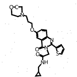 O=C(Cn1c(-c2cccs2)nc2ccc(OCCCN3CCOCC3)cc2c1=O)NCC1CC1